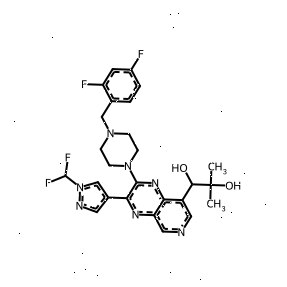 CC(C)(O)C(O)c1cncc2nc(-c3cnn(C(F)F)c3)c(N3CCN(Cc4ccc(F)cc4F)CC3)nc12